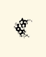 Cn1ncc2c3cc(C(=O)N(CC4CC4)[C@@H]4COCc5nc(C(F)(F)F)ccc54)c(F)cc3nc(N)c21